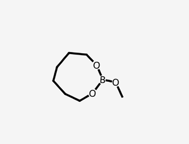 COB1OCCCCCCO1